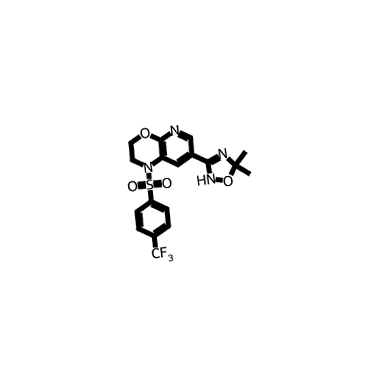 CC1(C)N=C(c2cnc3c(c2)N(S(=O)(=O)c2ccc(C(F)(F)F)cc2)CCO3)NO1